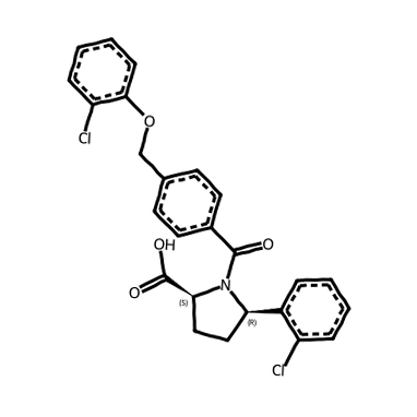 O=C(O)[C@@H]1CC[C@H](c2ccccc2Cl)N1C(=O)c1ccc(COc2ccccc2Cl)cc1